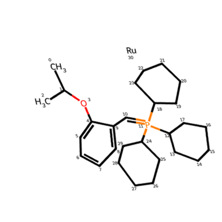 CC(C)Oc1ccccc1C=P(C1CCCCC1)(C1CCCCC1)C1CCCCC1.[Ru]